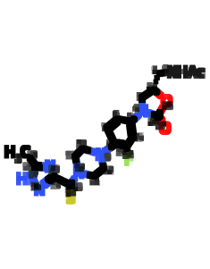 CC(=O)NC[C@H]1CN(c2ccc(N3CCN(C(=S)c4n[nH]c(C)n4)CC3)c(F)c2)C(=O)O1